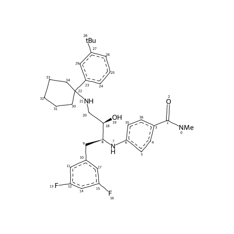 CNC(=O)c1ccc(N[C@@H](Cc2cc(F)cc(F)c2)[C@H](O)CNC2(c3cccc(C(C)(C)C)c3)CCCCC2)cc1